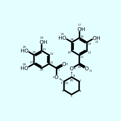 O=C(O[C@H]1CCCC[C@H]1OC(=O)c1cc(O)c(O)c(O)c1)c1cc(O)c(O)c(O)c1